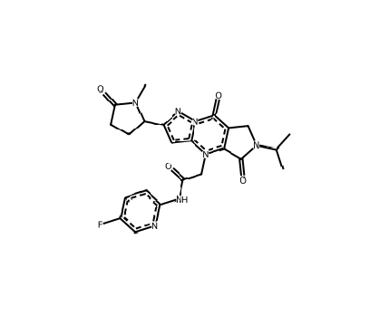 CC(C)N1Cc2c(n(CC(=O)Nc3ccc(F)cn3)c3cc(C4CCC(=O)N4C)nn3c2=O)C1=O